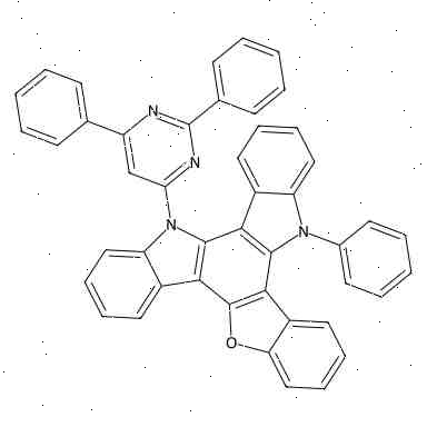 c1ccc(-c2cc(-n3c4ccccc4c4c5oc6ccccc6c5c5c(c6ccccc6n5-c5ccccc5)c43)nc(-c3ccccc3)n2)cc1